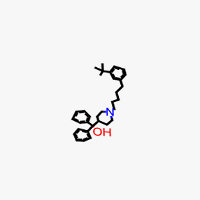 CC(C)(C)c1cccc(CCCCCN2CCC(C(O)(c3ccccc3)c3ccccc3)CC2)c1